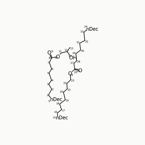 CCCCCCCCCCCCCCCCCC(=O)OCC(C)O.CCCCCCCCCCCCCCCCCCOC(=O)CCCCCCCCCCCCCCCCC